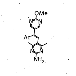 COc1ncc(/C(=C/c2c(C)nc(N)nc2C)C(C)=O)cn1